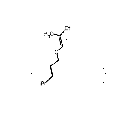 CCC(C)=COCCCC(C)C